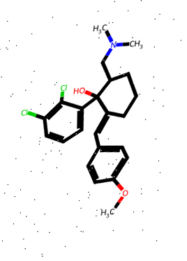 COc1ccc(/C=C2\CCCC(CN(C)C)C2(O)c2cccc(Cl)c2Cl)cc1